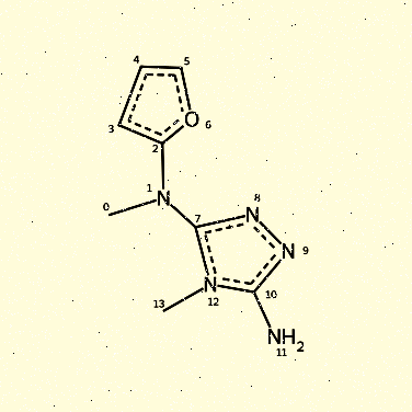 CN(c1ccco1)c1nnc(N)n1C